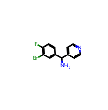 NC(c1ccncc1)c1ccc(F)c(Br)c1